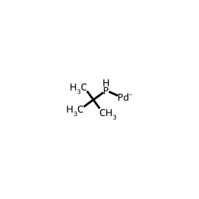 CC(C)(C)[PH][Pd-]